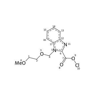 COCCOCn1c(C(=O)OCl)nc2ccccc21